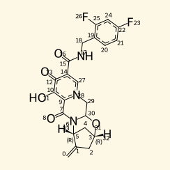 C=C1C[C@@H]2C[C@H]1N1C(=O)c3c(O)c(=O)c(C(=O)NCc4ccc(F)cc4F)cn3CC1O2